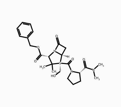 CN(C)C(=O)[C@@H]1CCCN1C(=O)[S@]1(CO)[C@@H]2CC(=O)N2[C@@H](C(=O)OCc2ccccc2)C1(C)C